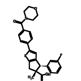 C[C@@]1(C(=O)O)Cc2sc(-c3ccc(C(=O)N4CCOCC4)cc3)cc2[C@@H]1c1cccc(F)c1